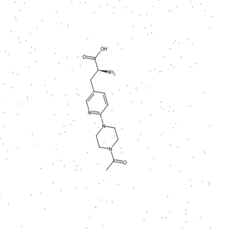 CC(=O)N1CCN(c2ccc(C[C@H](N)C(=O)O)cn2)CC1